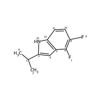 CC(C)c1cc2c(F)c(F)ccc2[nH]1